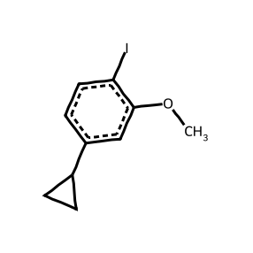 COc1cc(C2CC2)ccc1I